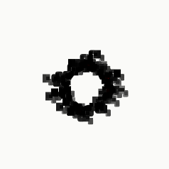 C/C=C/C[C@@H](C)[C@@H](O)[C@H]1C(=O)N[C@@H](CC)C(=O)N(C)C(COS(C)(=O)=O)C(=O)N(C)[C@@H](CC(C)C)C(=O)N[C@@H](C(C)C)C(=O)N(C)[C@@H](CC(C)C)C(=O)N[C@@H](C)C(=O)N[C@H](C)C(=O)N(C)[C@@H](CC(C)C)C(=O)N(C)[C@@H](CC(C)C)C(=O)N(C)[C@@H](C(C)C)C(=O)N1C